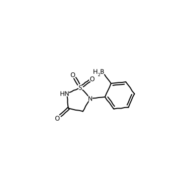 Bc1ccccc1N1CC(=O)NS1(=O)=O